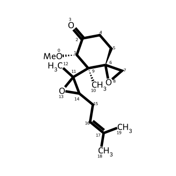 CO[C@@H]1C(=O)CC[C@]2(CO2)[C@@]1(C)C1(C)OC1CC=C(C)C